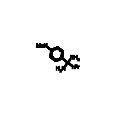 CCCC(N)(N)c1ccc(NC)cc1